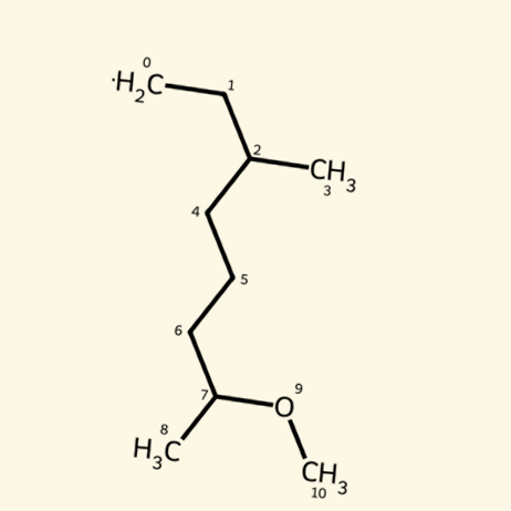 [CH2]CC(C)CCCC(C)OC